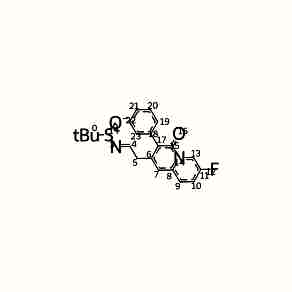 CC(C)(C)[S+]([O-])N=CCc1cc2ccc(F)cn2c(=O)c1-c1ccccc1